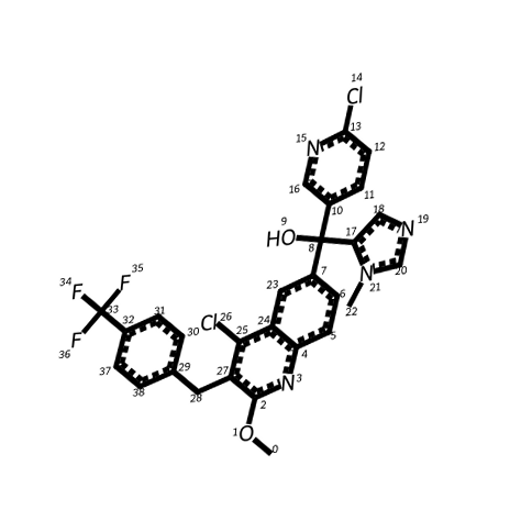 COc1nc2ccc(C(O)(c3ccc(Cl)nc3)c3cncn3C)cc2c(Cl)c1Cc1ccc(C(F)(F)F)cc1